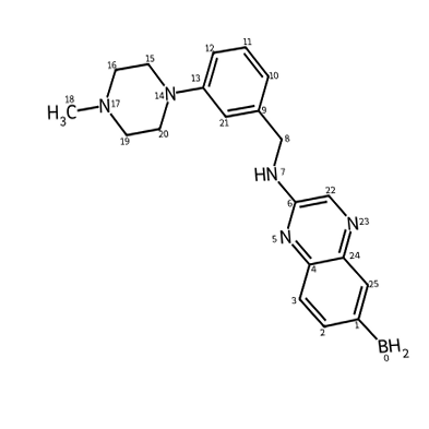 Bc1ccc2nc(NCc3cccc(N4CCN(C)CC4)c3)cnc2c1